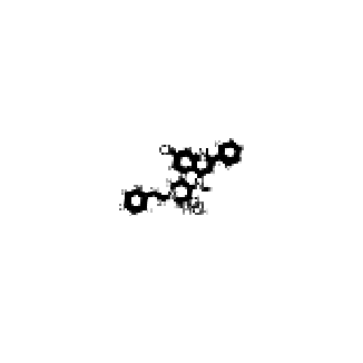 CN(c1cc(-c2ccccc2)nc2cc(Cl)ccc12)C1CCN(CCc2ccccc2)CC1.Cl.Cl